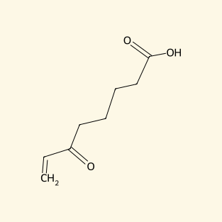 C=CC(=O)CCCCC(=O)O